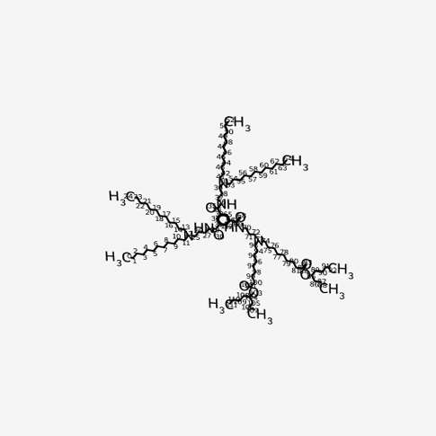 CCCCCCCCCCCCN(CCCCCCCCCCCC)CCCNC(=O)c1cc(C(=O)NCCCN(CCCCCCCCCCCC)CCCCCCCCCCCC)cc(C(=O)NCCCN(CCCCCCCCC(=O)OC(CCC)CCCC)CCCCCCCCC(=O)OC(CCC)CCCC)c1